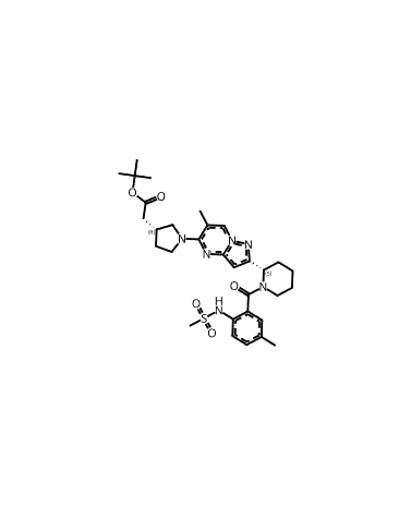 Cc1ccc(NS(C)(=O)=O)c(C(=O)N2CCCC[C@H]2c2cc3nc(N4CC[C@H](CC(=O)OC(C)(C)C)C4)c(C)cn3n2)c1